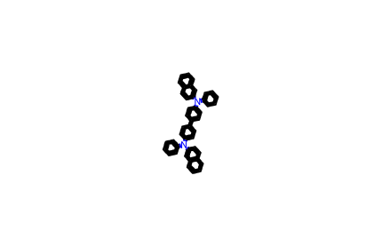 C1=CCCC(N(c2ccc(-c3ccc(N(c4ccccc4)c4ccc5c(c4)C=CCC5)cc3)cc2)c2ccc3ccccc3c2)=C1